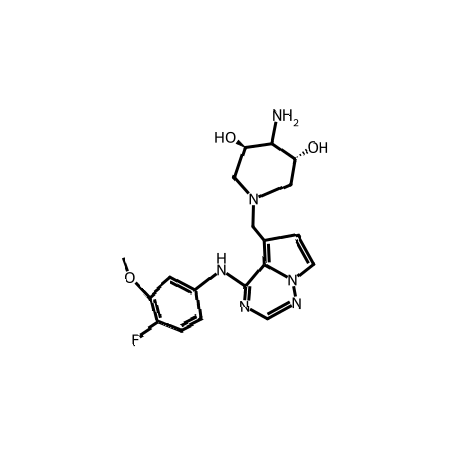 COc1cc(Nc2ncnn3ccc(CN4C[C@@H](O)C(N)[C@H](O)C4)c23)ccc1F